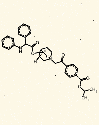 CC(C)OC(=O)c1ccc(C(=O)C[N+]23CCC(CC2)[C@@H](OC(=O)C(Nc2ccccc2)c2ccccc2)C3)cc1